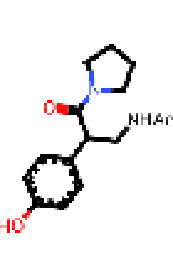 CC(=O)NCC(C(=O)N1[CH]CCC1)c1ccc(O)cc1